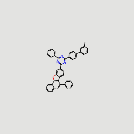 Cc1cccc(-c2ccc(-c3nc(-c4ccccc4)nc(-c4ccc5c(c4)oc4c6ccccc6cc(-c6ccccc6)c54)n3)cc2)c1